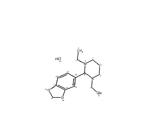 CCN1CCCC(CO)C1c1ccc2c(c1)OCO2.Cl